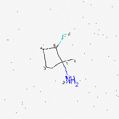 CC1(N)CCC1F